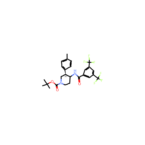 Cc1ccc([C@@H]2CN(C(=O)OC(C)(C)C)CCC2NC(=O)c2cc(C(F)(F)F)cc(C(F)(F)F)c2)cc1